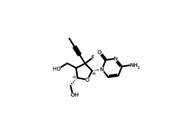 CC#CC1(F)C(CO)[C@@H](CO)O[C@H]1n1ccc(N)nc1=O